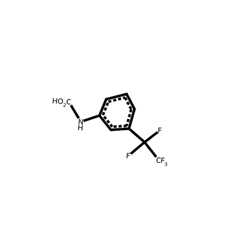 O=C(O)Nc1cccc(C(F)(F)C(F)(F)F)c1